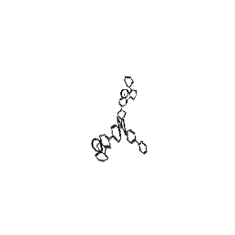 c1ccc(-c2ccc(N(c3ccc(-c4ccc5oc6ccccc6c5c4)cc3)c3ccc(-c4ccc5oc6c(-c7ccccc7)cccc6c5c4)cc3)cc2)cc1